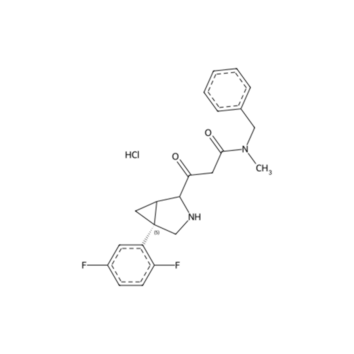 CN(Cc1ccccc1)C(=O)CC(=O)C1NC[C@@]2(c3cc(F)ccc3F)CC12.Cl